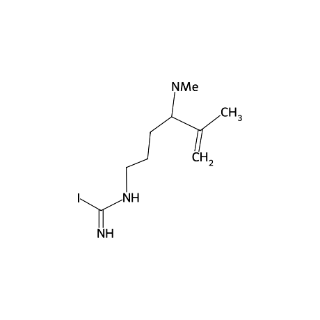 C=C(C)C(CCCNC(=N)I)NC